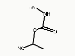 CCCNC(=O)OC(C)C#N